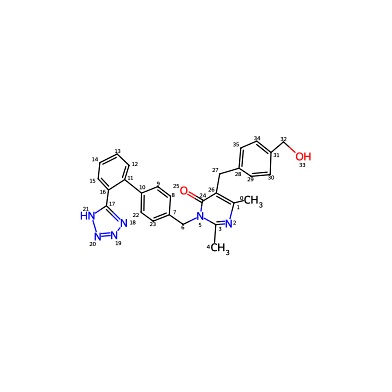 Cc1nc(C)n(Cc2ccc(-c3ccccc3-c3nnn[nH]3)cc2)c(=O)c1Cc1ccc(CO)cc1